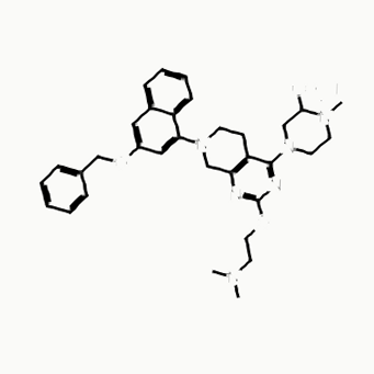 CN(C)CCOc1nc2c(c(N3CCN(C)C(C(=O)O)C3)n1)CCN(c1cc(OCc3ccccc3)cc3ccccc13)C2